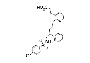 O=C(O)CCc1ccccc1CCCC(CNS(=O)(=O)c1ccc(Cl)cc1)c1cccnc1